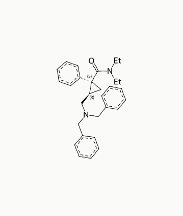 CCN(CC)C(=O)[C@@]1(c2ccccc2)C[C@H]1CN(Cc1ccccc1)Cc1ccccc1